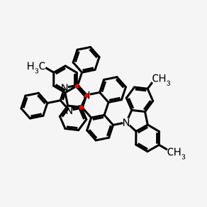 Cc1ccc2c(c1)c1ccccc1n2-c1ccccc1-c1c(-c2cc(-c3ccccc3)nc(-c3ccccc3)n2)cccc1-n1c2ccc(C)cc2c2cc(C)ccc21